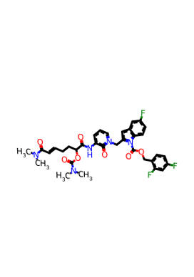 CN(C)C(=O)/C=C/CCC(OC(=O)N(C)C)C(=O)Nc1cccn(Cc2cc3cc(F)ccc3n2C(=O)OCc2ccc(F)cc2F)c1=O